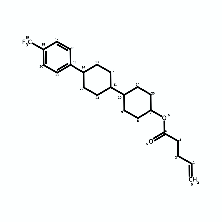 C=CCCC(=O)OC1CCC(C2CCC(c3ccc(C(F)(F)F)cc3)CC2)CC1